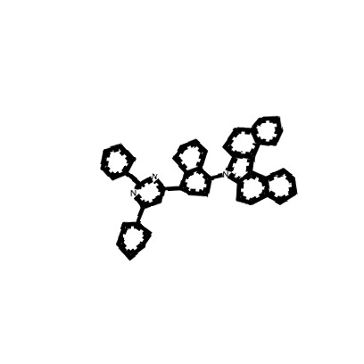 c1ccc(-c2cc(-c3ccc(-n4c5ccc6ccccc6c5c5c6ccccc6ccc54)c4ccccc34)nc(-c3ccccc3)n2)cc1